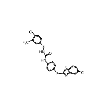 O=C(NSc1ccc(Cl)c(C(F)(F)F)c1)Nc1ccc(Sc2nc3cc(Cl)ccc3s2)cc1